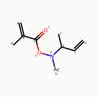 C=CC(C)N(OC(=O)C(=C)C)C(C)=O